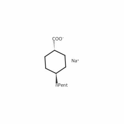 CCCCC[C@H]1CC[C@H](C(=O)[O-])CC1.[Na+]